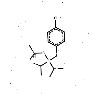 CC(C)[Si](Cc1ccc(Cl)cc1)(O[SiH](C)C)C(C)C